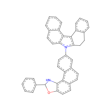 c1ccc(C2Nc3c(ccc4ccc5cc(-n6c7c(c8c9ccccc9ccc86)-c6ccccc6CC7)ccc5c34)O2)cc1